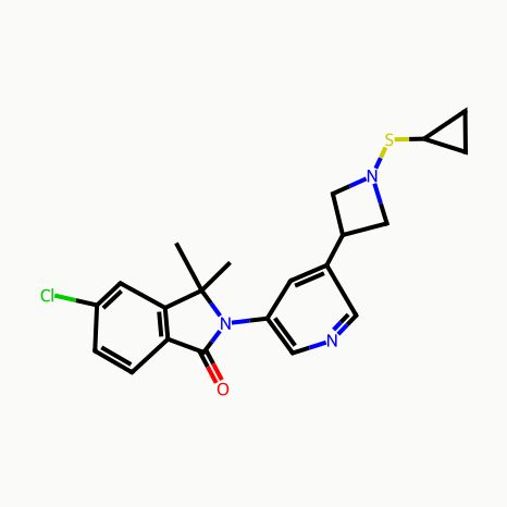 CC1(C)c2cc(Cl)ccc2C(=O)N1c1cncc(C2CN(SC3CC3)C2)c1